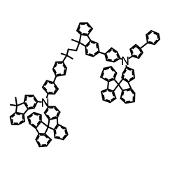 CC(C)(CCC1(C)c2ccccc2-c2cc(-c3ccc(N(c4ccc(-c5ccccc5)cc4)c4ccc5c(c4)C4(c6ccccc6-c6ccccc64)c4ccccc4-5)cc3)ccc21)c1ccc(-c2ccc(N(c3ccc4c(c3)-c3ccccc3C4(C)C)c3ccc4c(c3)C3(c5ccccc5-c5ccccc53)c3ccccc3-4)cc2)cc1